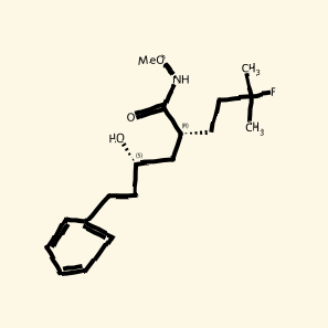 CONC(=O)[C@H](CCC(C)(C)F)C[C@@H](O)[CH]Cc1ccccc1